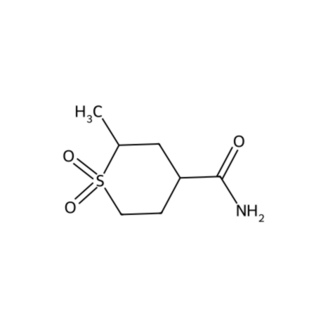 CC1CC(C(N)=O)CCS1(=O)=O